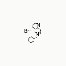 [Br-].c1ccc(C[n+]2ccc3ncccc3c2)cc1